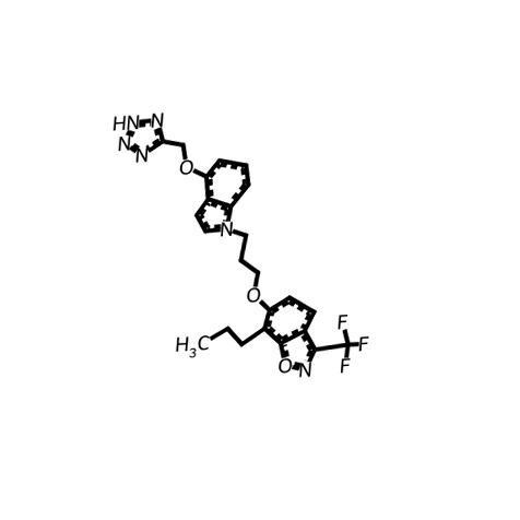 CCCc1c(OCCCn2ccc3c(OCc4nn[nH]n4)cccc32)ccc2c(C(F)(F)F)noc12